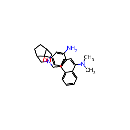 CN(C)c1ccc(CN2CC3CCC(C2)C3(O)c2cccc(N)c2)c2ccccc12